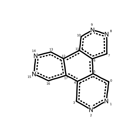 c1nncc2c1c1cnncc1c1cnncc21